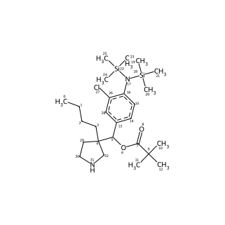 CCCCC1(C(OC(=O)C(C)(C)C)c2ccc(N([Si](C)(C)C)[Si](C)(C)C)c(Cl)c2)CCNC1